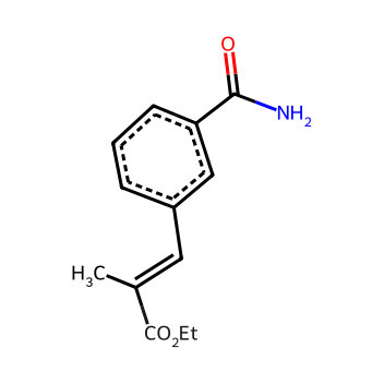 CCOC(=O)C(C)=Cc1cccc(C(N)=O)c1